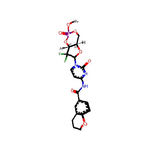 CC(C)OP1(=O)OC[C@H]2OC(n3ccc(NC(=O)c4ccc5c(c4)CCCO5)nc3=O)C(F)(F)[C@@H]2O1